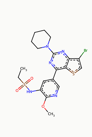 CCS(=O)(=O)Nc1cc(-c2nc(N3CCCCC3)nc3c(Br)csc23)cnc1OC